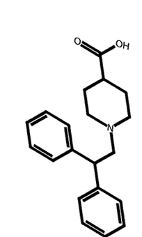 O=C(O)C1CCN(CC(c2ccccc2)c2ccccc2)CC1